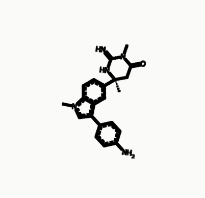 CN1C(=N)N[C@](C)(c2ccc3c(c2)c(-c2ccc(N)cc2)cn3C)CC1=O